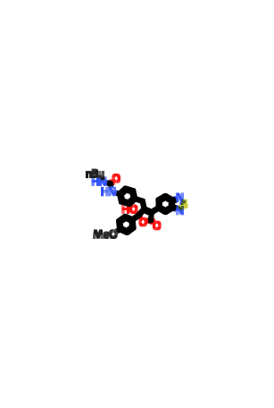 CCCCNC(=O)Nc1ccc(CC2=C(c3ccc4nsnc4c3)C(=O)OC2(O)c2ccc(OC)cc2)cc1